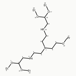 CCOC(CPCCN(CCOC(C)C)CCPCC(OCC)OCC)OCC